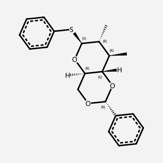 C[C@@H]1[C@@H](C)[C@H](Sc2ccccc2)O[C@@H]2CO[C@@H](c3ccccc3)O[C@@H]12